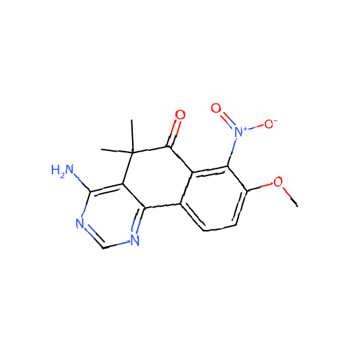 COc1ccc2c(c1[N+](=O)[O-])C(=O)C(C)(C)c1c(N)ncnc1-2